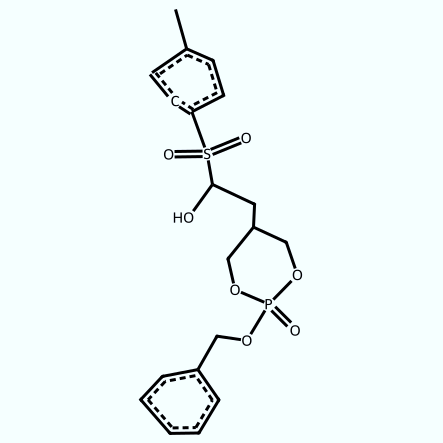 Cc1ccc(S(=O)(=O)C(O)CC2COP(=O)(OCc3ccccc3)OC2)cc1